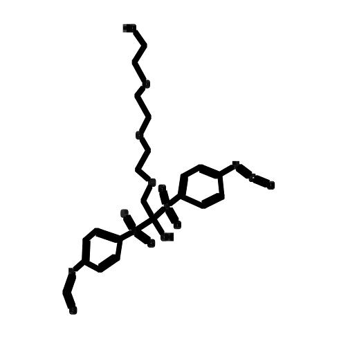 O=C=Nc1ccc(S(=O)(=O)C(O)(COCCOCCOCCO)S(=O)(=O)c2ccc(N=C=O)cc2)cc1